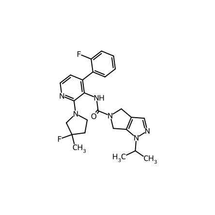 CC(C)n1ncc2c1CN(C(=O)Nc1c(-c3ccccc3F)ccnc1N1CCC(C)(F)C1)C2